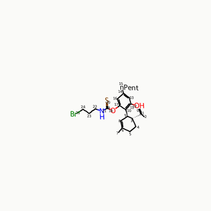 C=C(C)[C@@H]1CCC(C)=C[C@H]1c1c(O)cc(CCCCC)cc1OC(=S)NCCCBr